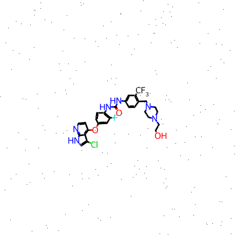 O=C(Nc1ccc(CN2CCN(CCO)CC2)c(C(F)(F)F)c1)Nc1ccc(Oc2ccnc3[nH]cc(Cl)c23)cc1F